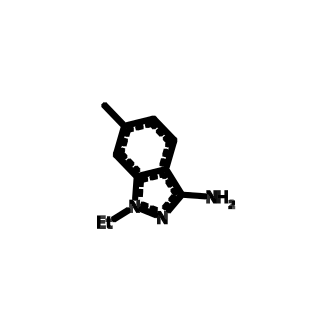 CCn1nc(N)c2ccc(C)cc21